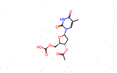 CC(=O)O[C@H]1C[C@H](n2cc(C)c(=O)[nH]c2=O)O[C@@H]1COC(=O)O